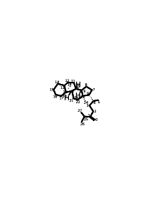 C=C(CCC(C)[C@H]1CC[C@H]2[C@@H]3CCC4CCCC[C@]4(C)[C@H]3CC[C@]12C)C(C)C